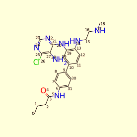 CCCC(=O)Nc1ccc(-c2ccc(NCCNC)c(Nc3ncnc(Cl)c3N)c2)cc1